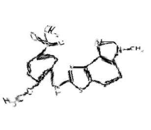 COc1ccc(S(C)(=O)=O)cc1Nc1nc2c(ccc3c2ncn3C)s1